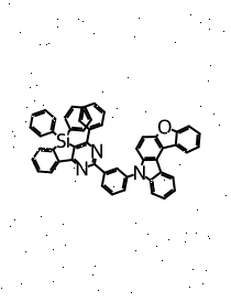 c1ccc(-c2nc(-c3cccc(-n4c5ccccc5c5c6c(ccc54)oc4ccccc46)c3)nc3c2[Si](c2ccccc2)(c2ccccc2)c2ccccc2-3)cc1